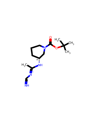 C/C(=N\C=N)N[C@@H]1CCCN(C(=O)OC(C)(C)C)C1